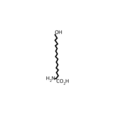 NC(CCCCCCCCCCCCCCCCO)C(=O)O